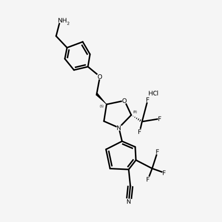 Cl.N#Cc1ccc(N2C[C@@H](COc3ccc(CN)cc3)O[C@@H]2C(F)(F)F)cc1C(F)(F)F